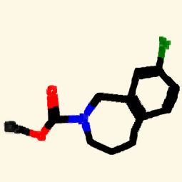 CC(C)(C)OC(=O)N1CCCc2ccc(Br)cc2C1